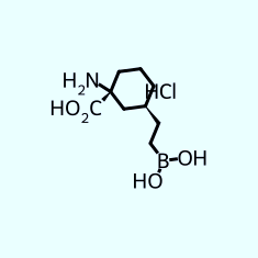 Cl.N[C@]1(C(=O)O)CCC[C@@H](CCB(O)O)C1